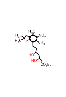 CCOC(=O)CC(O)CC(O)CCc1c(C)c([N+](=O)[O-])c(C)c2c1OC(C)(C)C2